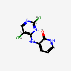 O=c1[nH]cccc1Nc1nc(Cl)ncc1Cl